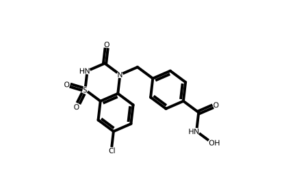 O=C(NO)c1ccc(CN2C(=O)NS(=O)(=O)c3cc(Cl)ccc32)cc1